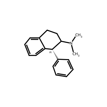 CN(C)C1CCc2ccccc2[C@H]1c1ccccc1